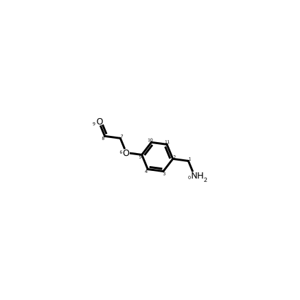 NCc1ccc(OCC=O)cc1